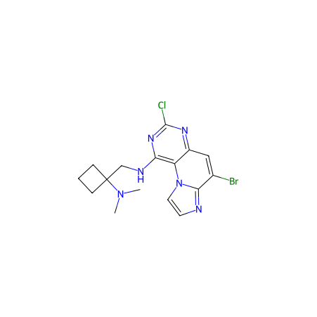 CN(C)C1(CNc2nc(Cl)nc3cc(Br)c4nccn4c23)CCC1